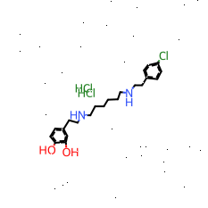 Cl.Cl.Oc1ccc(CCNCCCCCCNCCc2ccc(Cl)cc2)cc1O